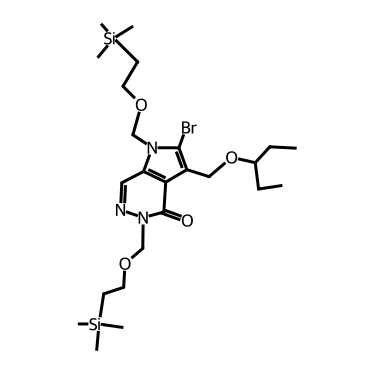 CCC(CC)OCc1c(Br)n(COCC[Si](C)(C)C)c2cnn(COCC[Si](C)(C)C)c(=O)c12